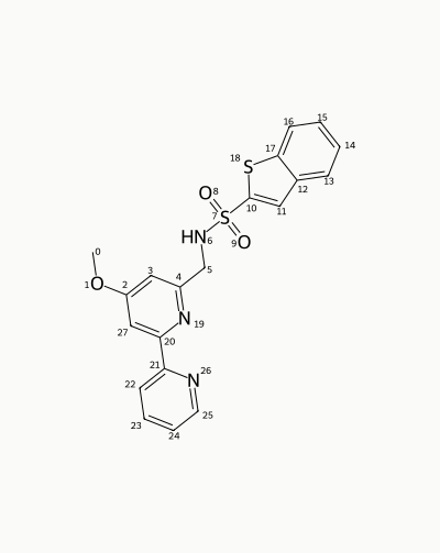 COc1cc(CNS(=O)(=O)c2cc3ccccc3s2)nc(-c2ccccn2)c1